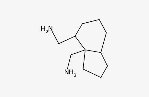 NCC1CCCC2CCCC12CN